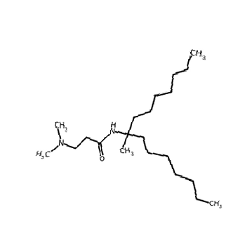 CCCCCCCC(C)(CCCCCCC)NC(=O)CCN(C)C